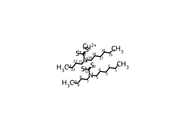 CCCCCCN(CCCC)C(=S)[S-].CCCCCCN(CCCC)C(=S)[S-].[Cu+2]